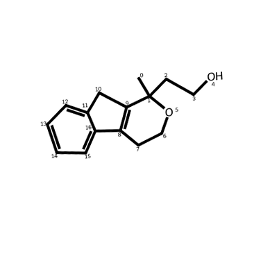 CC1(CCO)OCCC2=C1Cc1ccccc12